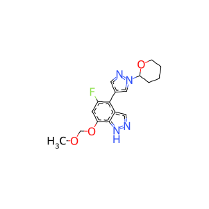 COCOc1cc(F)c(-c2cnn(C3CCCCO3)c2)c2cn[nH]c12